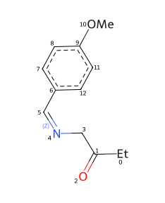 CCC(=O)C/N=C\c1ccc(OC)cc1